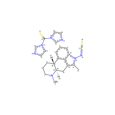 CCCN1CCC[C@@H]2c3cccc4c3c(c(C)n4N=C=S)C[C@H]21.S=C(n1ccnc1)n1ccnc1